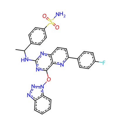 CC(Nc1nc(On2nnc3ccccc32)c2nc(-c3ccc(F)cc3)ccc2n1)c1ccc(S(N)(=O)=O)cc1